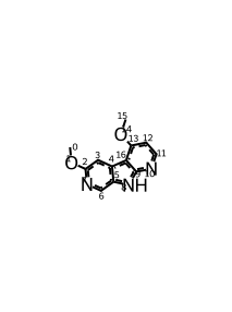 COc1cc2c(cn1)[nH]c1nccc(OC)c12